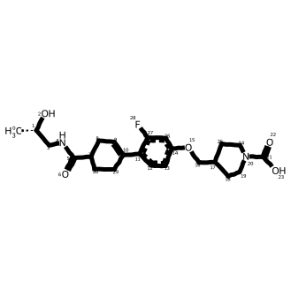 C[C@H](O)CNC(=O)C1CC=C(c2ccc(OCC3CCN(C(=O)O)CC3)cc2F)CC1